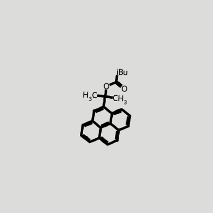 CCC(C)C(=O)OC(C)(C)c1cc2cccc3ccc4cccc1c4c32